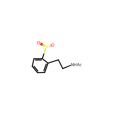 CC(=O)NCCc1ccccc1[SH](=O)=O